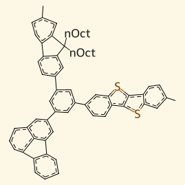 CCCCCCCCC1(CCCCCCCC)c2cc(C)ccc2-c2ccc(-c3cc(-c4cc5c6c(cccc6c4)-c4ccccc4-5)cc(-c4ccc5c(c4)sc4c6ccc(C)cc6sc54)c3)cc21